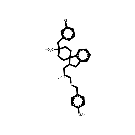 COc1ccc(COC[C@H](C)CC2Cc3ccccc3C23CCC(Cc2cccc(Cl)c2)(C(=O)O)CC3)cc1